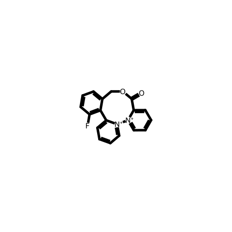 O=C1OCc2cccc(F)c2-c2cccc[n+]2-[n+]2ccccc21